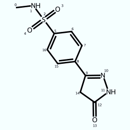 CNS(=O)(=O)c1ccc(C2=NNC(=O)C2)cc1